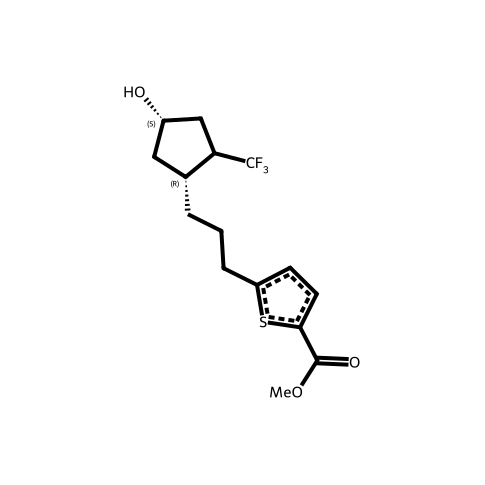 COC(=O)c1ccc(CCC[C@@H]2C[C@H](O)CC2C(F)(F)F)s1